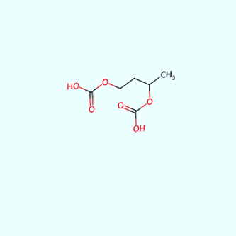 CC(CCOC(=O)O)OC(=O)O